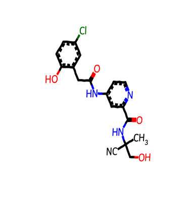 CC(C#N)(CO)NC(=O)c1cc(NC(=O)Cc2cc(Cl)ccc2O)ccn1